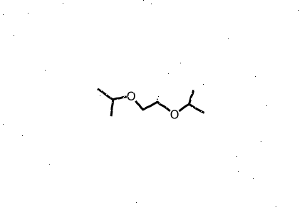 CC(C)O[CH]COC(C)C